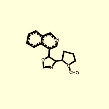 O=CN1CCCC1C1N=COC1c1cncc2ccccc12